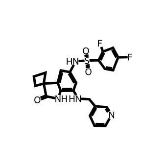 O=C1Nc2c(NCc3cccnc3)cc(NS(=O)(=O)c3ccc(F)cc3F)cc2C12CCC2